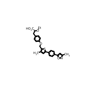 CCO[C@@H](Cc1ccc(OCc2sc(-c3ccc(-c4cc(C)no4)cc3)cc2C)cc1)C(=O)O